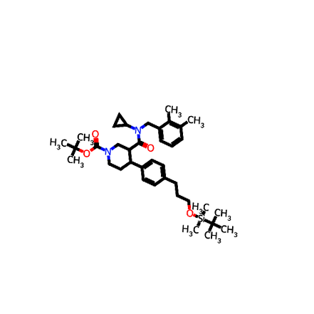 Cc1cccc(CN(C(=O)C2CN(C(=O)OC(C)(C)C)CCC2c2ccc(CCCO[Si](C)(C)C(C)(C)C)cc2)C2CC2)c1C